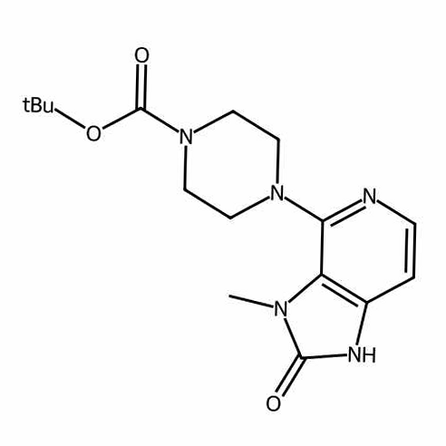 Cn1c(=O)[nH]c2ccnc(N3CCN(C(=O)OC(C)(C)C)CC3)c21